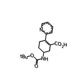 CC(C)(C)OC(=O)NC1CCC(c2ccccn2)=C(C(=O)O)C1